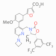 COC1=CCC(c2cc(C(=O)O)co2)C=C1c1ccc(N2CCC2)nc1CN1C(=O)O[C@H](c2cc(C(F)(F)F)cc(C(F)(F)F)c2)[C@@H]1C